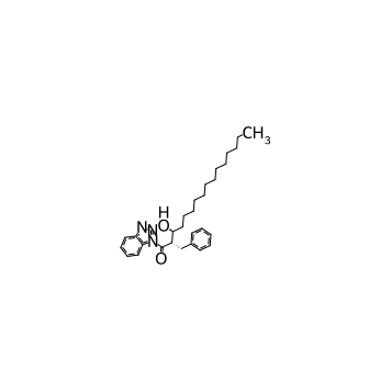 CCCCCCCCCCCCC[C@H](O)[C@H](Cc1ccccc1)C(=O)n1nnc2ccccc21